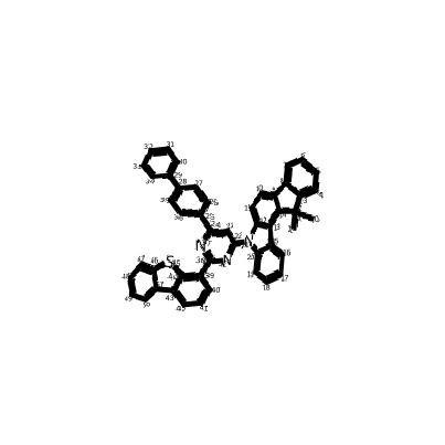 CC1(C)c2ccccc2-c2ccc3c(c21)c1ccccc1n3-c1cc(-c2ccc(-c3ccccc3)cc2)nc(-c2cccc3c2sc2ccccc23)n1